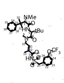 CN[C@H](C(=O)NC(C(=O)N(C)C/C=C(\C)C(=O)NS(=O)(=O)Cc1cccc(OC(F)(F)F)c1)C(C)(C)C)C(C)(C)c1ccccc1